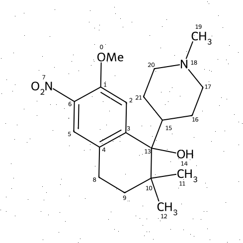 COc1cc2c(cc1[N+](=O)[O-])CCC(C)(C)C2(O)C1CCN(C)CC1